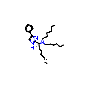 CCCCCC[C@@H](c1nc(-c2ccccc2)c[nH]1)N(CCCCCC)CCCCCC